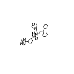 Cn1nnnc1-c1cccc(NC(=O)N(CCC(c2ccccc2)c2ccccc2)CCN2CCOCC2)c1